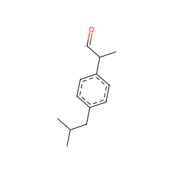 CC(C)Cc1ccc(C(C)[C]=O)cc1